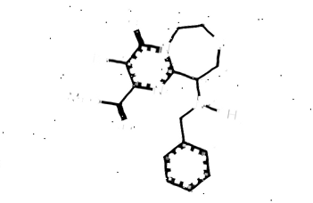 COC(=O)c1nc2n(c(=O)c1O)CCOCC2N(C)Cc1ccccc1